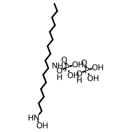 CCCCCCCCCCCCCCCCNO.N.O=P(O)(O)O.O=P(O)(O)O